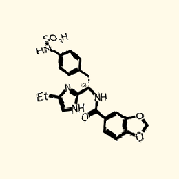 CCc1c[nH]c([C@H](Cc2ccc(NS(=O)(=O)O)cc2)NC(=O)c2ccc3c(c2)OCO3)n1